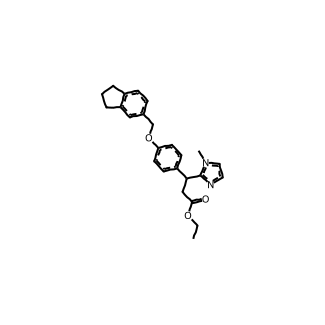 CCOC(=O)CC(c1ccc(OCc2ccc3c(c2)CCC3)cc1)c1nccn1C